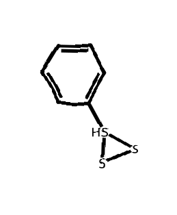 c1ccc([SH]2SS2)cc1